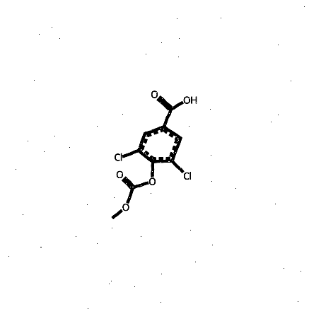 COC(=O)Oc1c(Cl)cc(C(=O)O)cc1Cl